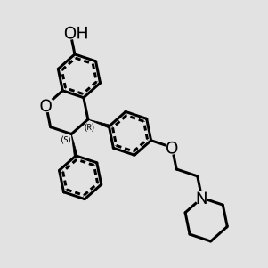 Oc1ccc2c(c1)OC[C@H](c1ccccc1)[C@@H]2c1ccc(OCCN2CCCCC2)cc1